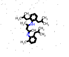 C/C(=C/C(C)=N/c1c(C)cccc1CC(C)C)Nc1c(CC(C)C)cccc1CC(C)C